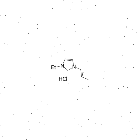 CC=CN1C=CN(CC)C1.Cl